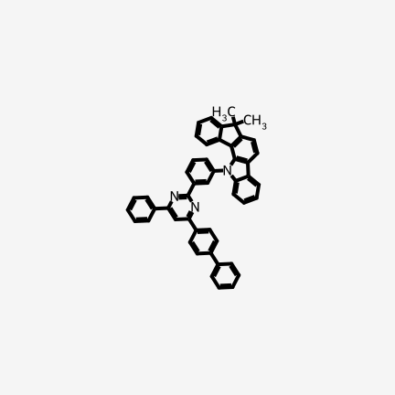 CC1(C)c2ccccc2-c2c1ccc1c3ccccc3n(-c3cccc(-c4nc(-c5ccccc5)cc(-c5ccc(-c6ccccc6)cc5)n4)c3)c21